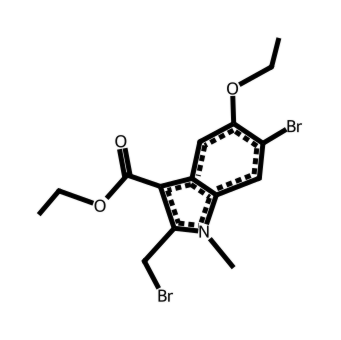 CCOC(=O)c1c(CBr)n(C)c2cc(Br)c(OCC)cc12